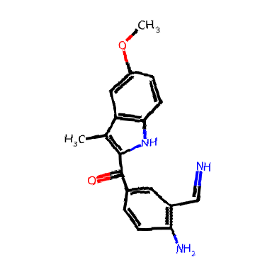 COc1ccc2[nH]c(C(=O)c3ccc(N)c(C=N)c3)c(C)c2c1